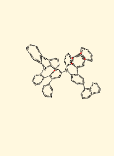 c1ccc(-c2cccc(N(c3ccc(-c4ccccc4-n4c5ccccc5c5ccccc54)c(-c4ccccc4)c3)c3ccc(-c4cccc5ccccc45)cc3-c3ccccc3)c2)cc1